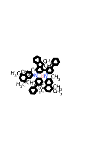 Cc1cc2c(cc1N1B3c4ccc(-c5ccccc5)cc4N(c4cc5c(cc4C)C(C)(C)CCC5(C)C)c4cc5c(c(c43)-c3cc(-c4ccccc4)ccc31)C(C)(C)c1ccccc1-5)C(C)(C)CCC2(C)C